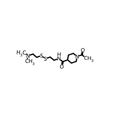 CC(=O)N1CCC(C(=O)NCCSSCCN(C)C)CC1